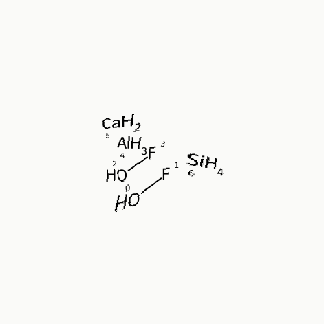 OF.OF.[AlH3].[CaH2].[SiH4]